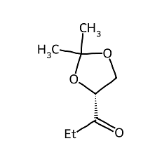 CCC(=O)[C@H]1COC(C)(C)O1